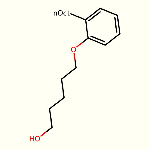 CCCCCCCCc1ccccc1OCCCCCO